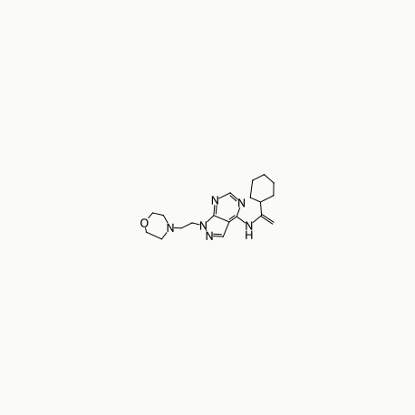 C=C(Nc1ncnc2c1cnn2CCN1CCOCC1)C1CCCCC1